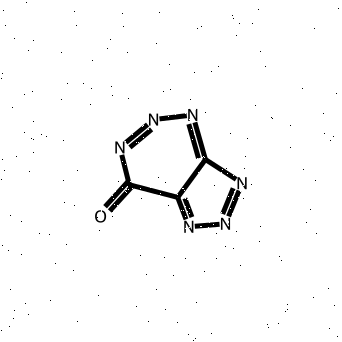 O=C1N=NN=C2N=NN=C12